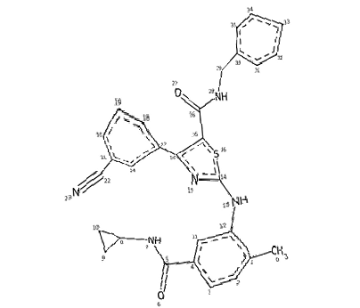 Cc1ccc(C(=O)NC2CC2)cc1Nc1nc(-c2cccc(C#N)c2)c(C(=O)NCc2ccccc2)s1